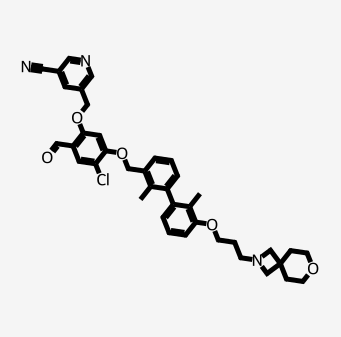 Cc1c(COc2cc(OCc3cncc(C#N)c3)c(C=O)cc2Cl)cccc1-c1cccc(OCCCN2CC3(CCOCC3)C2)c1C